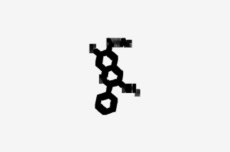 CC(=O)Nc1cc2cc(N)c(-c3ccccc3)nc2cc1F